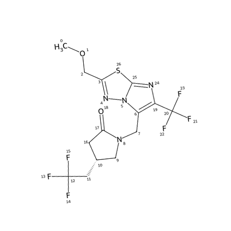 COCc1nn2c(CN3C[C@H](CC(F)(F)F)CC3=O)c(C(F)(F)F)nc2s1